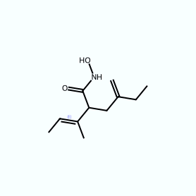 C=C(CC)CC(C(=O)NO)/C(C)=C/C